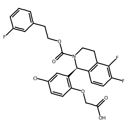 O=C(O)COc1ccc(Cl)cc1[C@@H]1c2ccc(F)c(F)c2CCN1C(=O)OCCc1cccc(F)c1